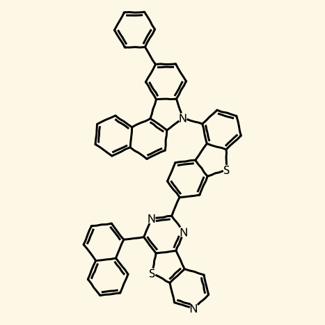 c1ccc(-c2ccc3c(c2)c2c4ccccc4ccc2n3-c2cccc3sc4cc(-c5nc(-c6cccc7ccccc67)c6sc7cnccc7c6n5)ccc4c23)cc1